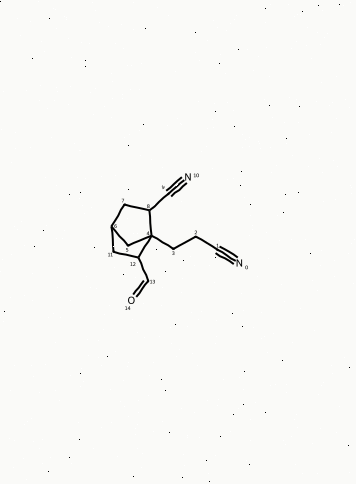 N#CCCC12CC(CC1C#N)CC2C=O